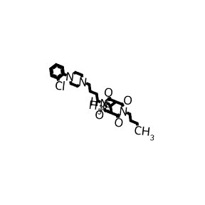 CCCCN1C(=O)C2C(=O)N(CCCCN3CCN(c4ccccc4Cl)CC3)C(=O)C(C1=O)C2(C)C